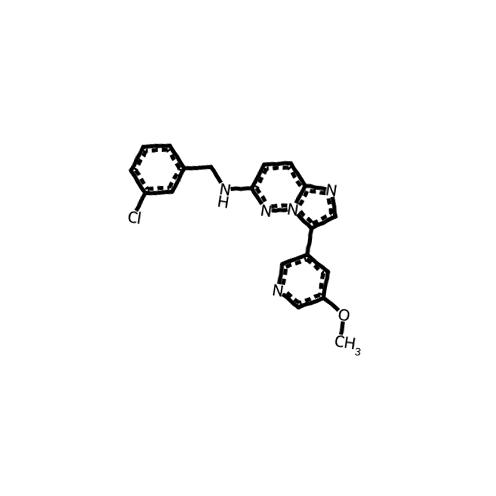 COc1cncc(-c2cnc3ccc(NCc4cccc(Cl)c4)nn23)c1